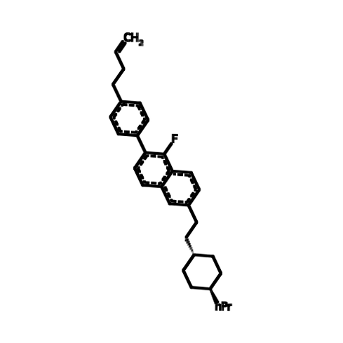 C=CCCc1ccc(-c2ccc3cc(CC[C@H]4CC[C@H](CCC)CC4)ccc3c2F)cc1